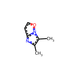 Cc1nc2ccon2c1C